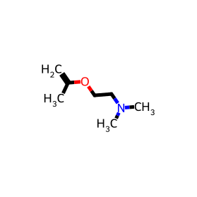 C=C(C)OCCN(C)C